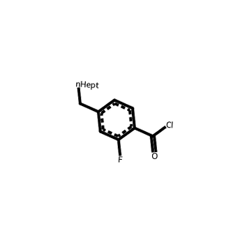 CCCCCCCCc1ccc(C(=O)Cl)c(F)c1